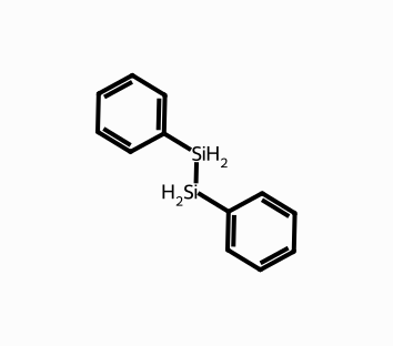 c1ccc([SiH2][SiH2]c2ccccc2)cc1